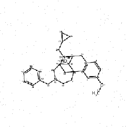 COc1ccc2c(c1)C13CCN(Cc4ccccc4)CCC1(O)C(C2)N(CC1CC1)CC3